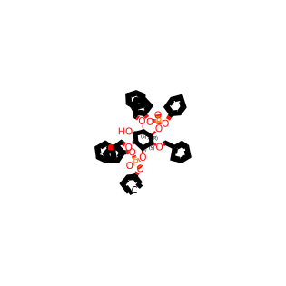 O=P(Oc1ccccc1)(Oc1ccccc1)O[C@@H]1[C@H](OCc2ccccc2)[C@H](OP(=O)(Oc2ccccc2)Oc2ccccc2)[C@@H](OCc2ccccc2)[C@H](O)[C@H]1OCc1ccccc1